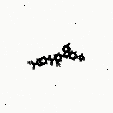 Cc1ccc2c(c1)C1(CCN(C3COC3)CC1)CN2c1ncc(C(=O)NC2CC3CC(C2)CC(C(N)=O)C3)c(C(F)(F)F)n1